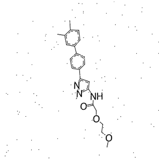 COCCOCC(=O)Nc1cc(-c2ccc(-c3ccc(C)c(C)c3)cc2)nn1C